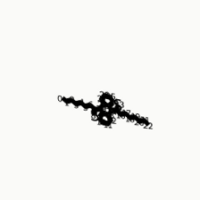 C/C=C/C=C/C=C/c1sc2cccc3c4c(/C=C/C=C/C=C/C)sc5cccc(c1c23)c54